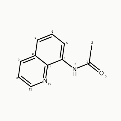 O=C(I)Nc1cccc2cccnc12